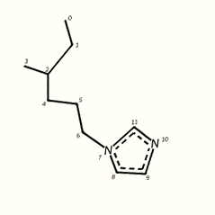 CCC(C)CCCn1ccnc1